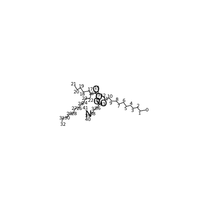 CCCCCCCCCCCC(COC(=O)C(CCCCC)CCCCCCCCCCC)OC(=O)CCCN(C)C